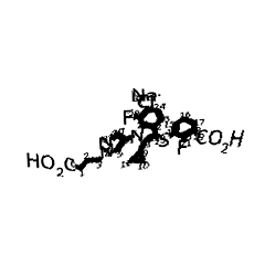 O=C(O)CCCn1cc(-n2c(C3CC3)c(Sc3cccc(C(=O)O)c3F)c3ccc(Cl)c(F)c32)cn1.[Na]